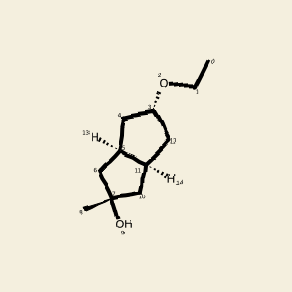 CCO[C@H]1C[C@@H]2C[C@@](C)(O)C[C@@H]2C1